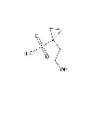 CS(=O)(=O)C1(CCO)CC1